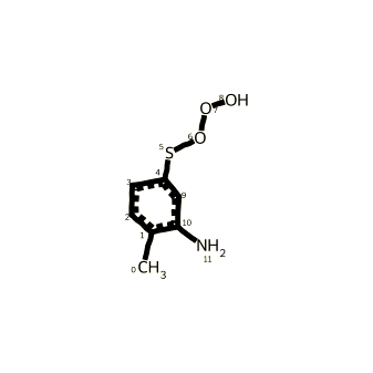 Cc1ccc(SOOO)cc1N